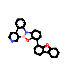 c1ccc2c(c1)-c1ccncc1B1Oc3c(-c4cccc5c4oc4ccccc45)cccc3N12